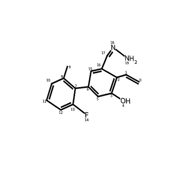 C=Cc1c(O)cc(-c2c(C)cccc2F)cc1/C=N\N